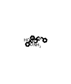 NC(CC12CC1CN(Cc1ccccc1)C2)NC(=O)C(O)(c1ccccc1)c1ccccc1